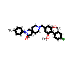 CCOc1cc(CN2CCC3(CC2)CC(=O)N(c2ccc(C#N)cc2)C3)cc(OCC)c1-c1ccc(F)cc1